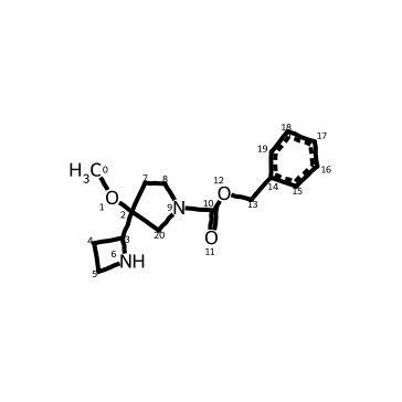 COC1(C2CCN2)CCN(C(=O)OCc2ccccc2)C1